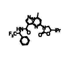 Cc1cc(N2CC(C(C)C)OC2=O)nc2c(C(=O)NC(c3ccccc3)C(F)(F)F)cnn12